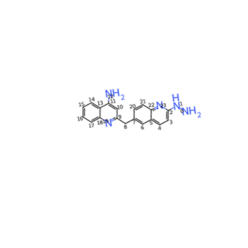 NNc1ccc2cc(Cc3cc(N)c4ccccc4n3)ccc2n1